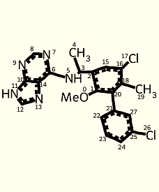 COc1c(C(C)Nc2ncnc3[nH]cnc23)cc(Cl)c(C)c1-c1cccc(Cl)c1